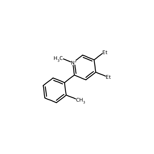 CCc1cc(-c2ccccc2C)[n+](C)cc1CC